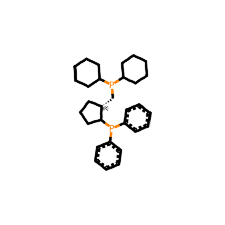 c1ccc(P(c2ccccc2)C2CCC[C@@H]2CP(C2CCCCC2)C2CCCCC2)cc1